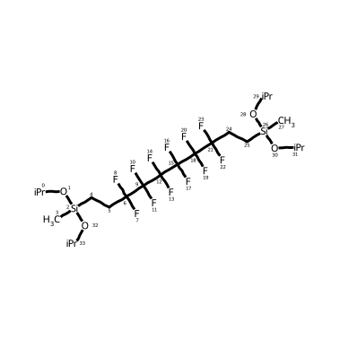 CC(C)O[Si](C)(CCC(F)(F)C(F)(F)C(F)(F)C(F)(F)C(F)(F)C(F)(F)CC[Si](C)(OC(C)C)OC(C)C)OC(C)C